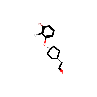 Cc1c(Br)cccc1O[C@H]1CC[C@@H](CC=O)CC1